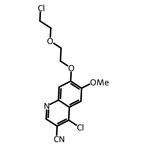 COc1cc2c(Cl)c(C#N)cnc2cc1OCCOCCCl